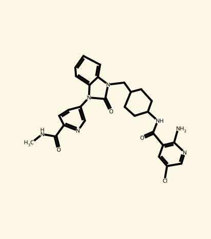 CNC(=O)c1ccc(-n2c(=O)n(CC3CCC(NC(=O)c4cc(Cl)cnc4N)CC3)c3ccccc32)cn1